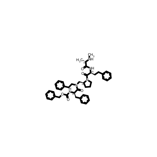 CN[C@@H](C)C(=O)N[C@@H](CCc1ccccc1)C(=O)N1CCC[C@H]1CN(CCc1ccccc1)C(=O)[C@@H](Cc1ccccc1)NC(=O)OCc1ccccc1